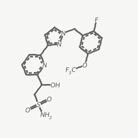 NS(=O)(=O)CC(O)c1cccc(-c2ccn(Cc3cc(OC(F)(F)F)ccc3F)n2)n1